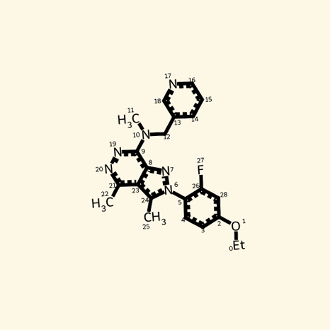 CCOc1ccc(-n2nc3c(N(C)Cc4cccnc4)nnc(C)c3c2C)c(F)c1